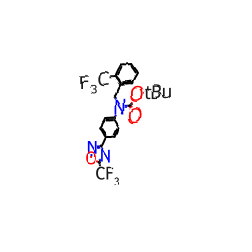 CC(C)(C)OC(=O)N(Cc1ccccc1C(F)(F)F)c1ccc(-c2noc(C(F)(F)F)n2)cc1